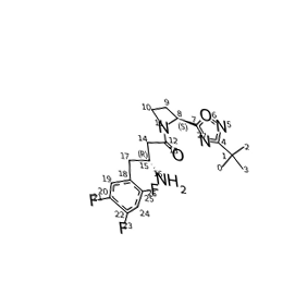 CC(C)(C)c1noc([C@@H]2CCN2C(=O)C[C@H](N)Cc2cc(F)c(F)cc2F)n1